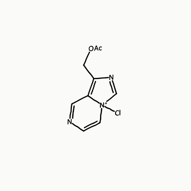 CC(=O)OCC1=C2C=NC=C[N+]2(Cl)C=N1